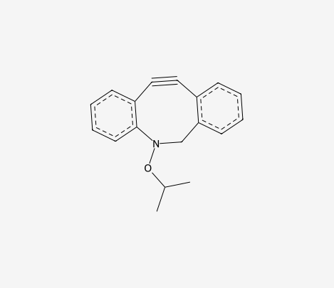 CC(C)ON1Cc2ccccc2C#Cc2ccccc21